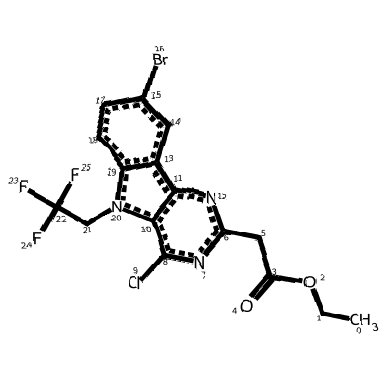 CCOC(=O)Cc1nc(Cl)c2c(n1)c1cc(Br)ccc1n2CC(F)(F)F